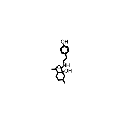 CC1CCC(C(C)C)C(O)(C(=O)NCCc2ccc(O)cc2)C1